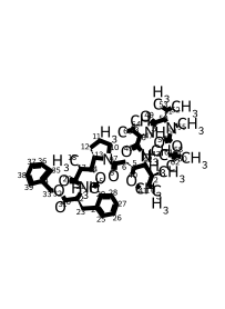 CC[C@H](C)[C@@H]([C@@H](CC(=O)N1CCC[C@H]1[C@H](OC)[C@@H](C)C(=O)N[C@@H](Cc1ccccc1)C(=O)OCc1ccccc1)OC)N(C)C(=O)[C@@H](NC(=O)[C@H](C(C)C)N(C)C(=O)OC(C)(C)C)C(C)C